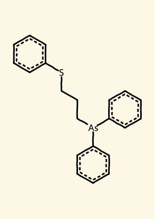 c1ccc(SCCC[As](c2ccccc2)c2ccccc2)cc1